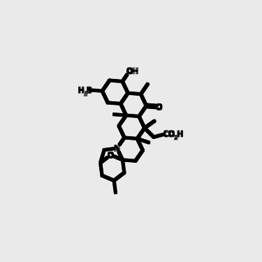 BC1CC(O)C2C(C)C(=O)C3C(C)(CC4N5CC6CC(C)CC5(CCC4(C)C3(C)CC(=O)O)O6)C2C1